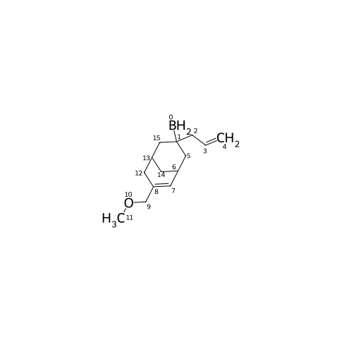 BC1(CC=C)CC2C=C(COC)CC(C2)C1